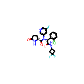 O=C1CC[C@@H](C(=O)N(c2cncc(F)c2)[C@H](C(=O)NC2CC(F)(F)C2)c2ccccc2Cl)N1